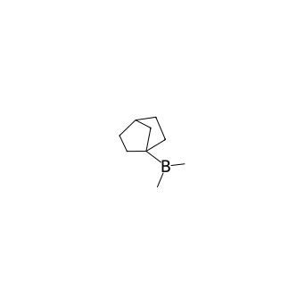 CB(C)C12CCC(CC1)C2